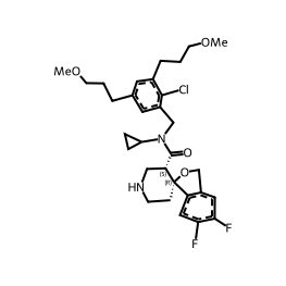 COCCCc1cc(CCCOC)c(Cl)c(CN(C(=O)[C@H]2CNCC[C@@]23OCc2cc(F)c(F)cc23)C2CC2)c1